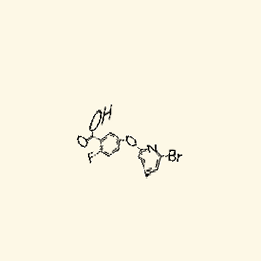 O=C(O)c1cc(Oc2cccc(Br)n2)ccc1F